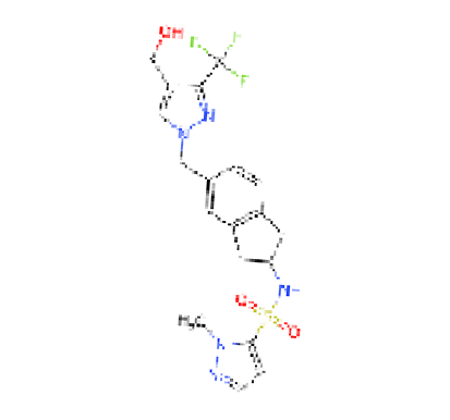 Cn1nccc1S(=O)(=O)NC1Cc2ccc(Cn3cc(CO)c(C(F)(F)F)n3)cc2C1